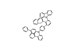 C1=CC2=CC=C(c3c(-c4ccc(N(c5ccc(-c6ccccc6)cc5)c5ccccc5-c5ccccc5)cc4)cccc3-n3c4ccccc4c4ccccc43)CC2C=C1